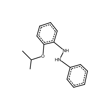 CC(C)Oc1ccccc1NNc1ccccc1